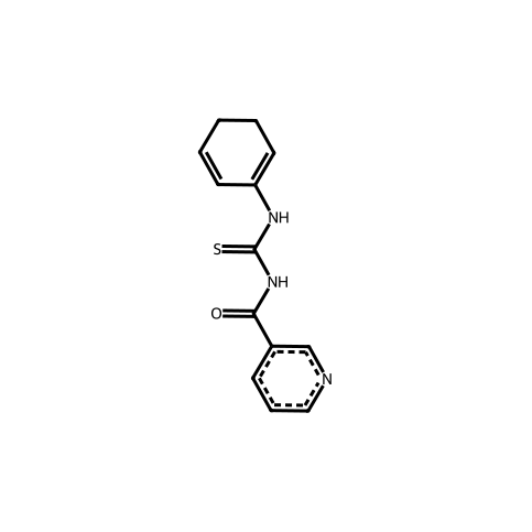 O=C(NC(=S)NC1=CCCC=C1)c1cccnc1